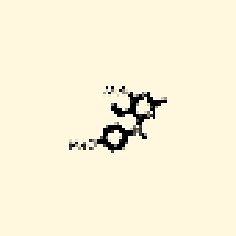 C=Cc1c(NC)nc(C)nc1N(C)c1ccc(OC)cc1